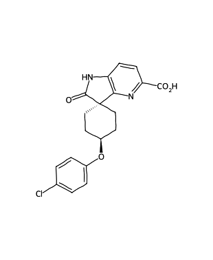 O=C(O)c1ccc2c(n1)[C@]1(CC[C@H](Oc3ccc(Cl)cc3)CC1)C(=O)N2